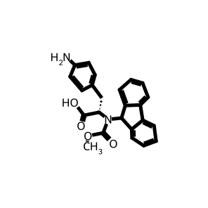 COC(=O)N(C1c2ccccc2-c2ccccc21)[C@@H](Cc1ccc(N)cc1)C(=O)O